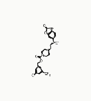 O=C(OCc1cc(Cl)cc(C(F)(F)F)c1)N1CCN(CC[S+]([O-])c2ccc3[nH]c(=O)oc3c2)CC1